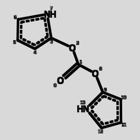 O=C(Oc1ccc[nH]1)Oc1ccc[nH]1